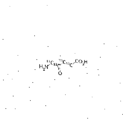 N[13CH2][13C](=O)[13CH2][13CH2][13C](=O)O